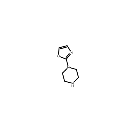 c1coc(N2CCNCC2)n1